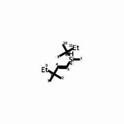 CCC(C)(C)C=C[SiH](C)C(C)(C)CC